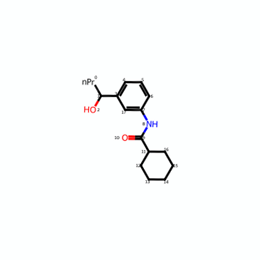 CCCC(O)c1cccc(NC(=O)C2CCCCC2)c1